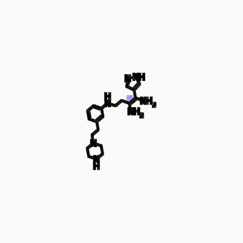 N/C(CCNc1cccc(CCN2CCNCC2)c1)=C(\N)c1cn[nH]c1